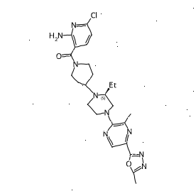 CC[C@H]1CN(c2ncc(-c3nnc(C)o3)nc2C)CCN1C1CCN(C(=O)c2ccc(Cl)nc2N)CC1